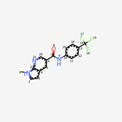 Cn1ccc2cc(C(=O)Nc3ccc(C(F)(F)F)cc3)cnc21